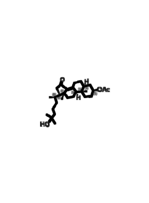 CC(=O)O[C@H]1CC[C@@]2(C)[C@@H](CCC3=C4C(=O)C[C@H]([C@H](C)CCCC(C)(C)O)[C@@]4(C)CC[C@@H]32)C1